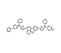 Fc1ccc(N(c2ccccc2)c2ccc(-c3ccc4c(c3)Oc3cccc5c(-c6ccc(N(c7ccccc7)c7ccc(-c8ccccc8)cc7)s6)ccc-4c35)s2)cc1